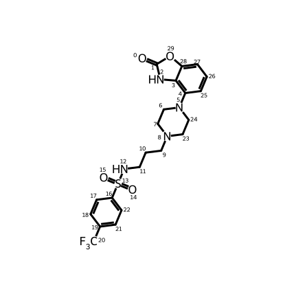 O=c1[nH]c2c(N3CCN(CCCNS(=O)(=O)c4ccc(C(F)(F)F)cc4)CC3)cccc2o1